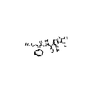 O=C(NCC(=O)N(CCO)c1ccccc1)c1cc2sc(Cl)c(Cl)c2[nH]1